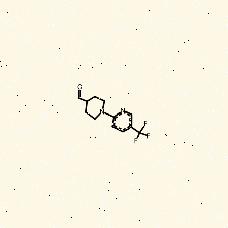 O=CC1CCN(c2ccc(C(F)(F)F)cn2)CC1